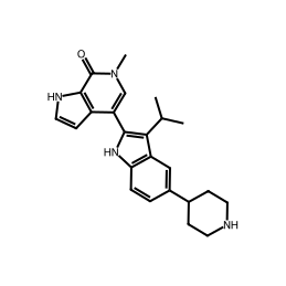 CC(C)c1c(-c2cn(C)c(=O)c3[nH]ccc23)[nH]c2ccc(C3CCNCC3)cc12